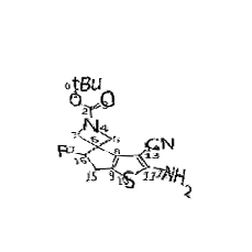 CC(C)(C)OC(=O)N1CC2(C1)c1c(sc(N)c1C#N)CC2F